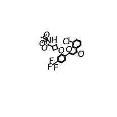 CS(=O)(=O)NC(=O)C1CC(Oc2cc(C(F)(F)F)ccc2-c2cc(=O)c3cccc(Cl)c3o2)C1